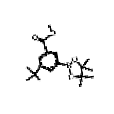 COC(=O)c1cc(B2OC(C)(C)C(C)(C)O2)cc(C(C)(C)C)c1